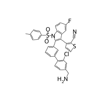 Cc1ccc(S(=O)(=O)n2c(-c3cccc(-c4ccc(CN)cc4Cl)c3)c(-c3ccsc3C#N)c3cc(F)ccc32)cc1